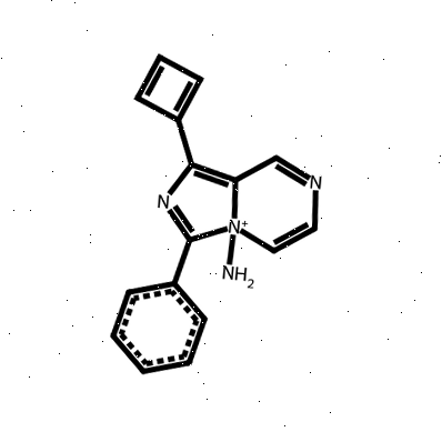 N[N+]12C=CN=CC1=C(C1=CC=C1)N=C2c1ccccc1